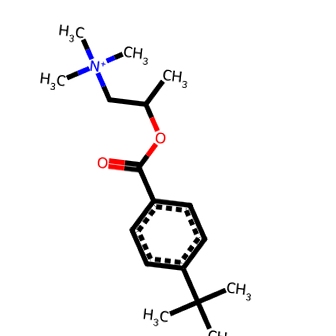 CC(C[N+](C)(C)C)OC(=O)c1ccc(C(C)(C)C)cc1